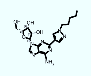 CCCCCn1cc(-c2nc(N)c3ncn([C@@H]4O[C@H](CO)[C@H](O)[C@@H]4O)c3n2)cn1